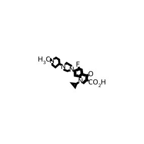 CN1CCC(N2CCN(c3cc4c(cc3F)c(=O)c(C(=O)O)cn4C3CC3)CC2)CC1